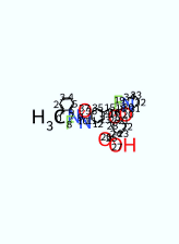 Cc1ccccc1N(F)c1nc2ccc(CC(=O)[C@@](F)(O[C@H]3CC[C@H](C(=O)O)CC3)N3CCCC3)cc2o1